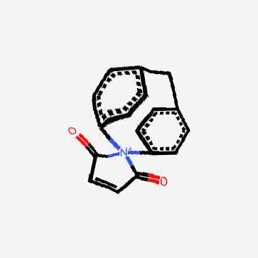 O=C1C=CC(=O)[N+]12c1ccc(cc1)Cc1ccc2cc1